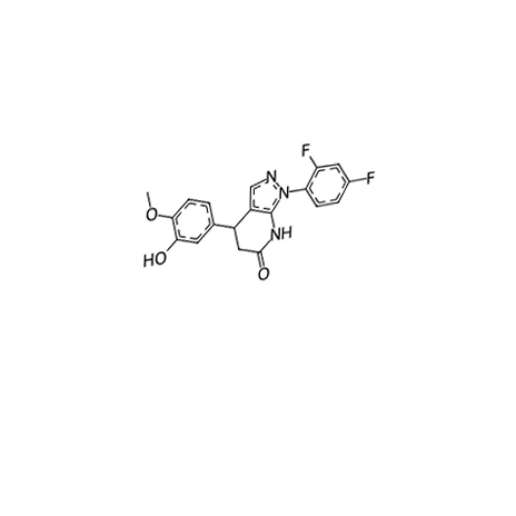 COc1ccc(C2CC(=O)Nc3c2cnn3-c2ccc(F)cc2F)cc1O